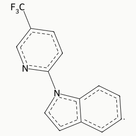 FC(F)(F)c1ccc(-n2ccc3c[c]ccc32)nc1